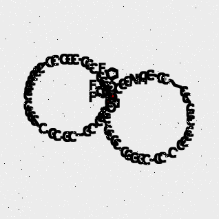 Fc1cccc(Oc2cc(F)c(F)cc2N2CCCCNCCCCCCCCCCCCCCCCCCCCCCCCCCCCCCCCCCCCCCCC3(CCCCCCCCCCCCCCCCCCCCCCCCCCCCCCCCCCCCCCCCCCCCCC34OCCO4)C2)c1